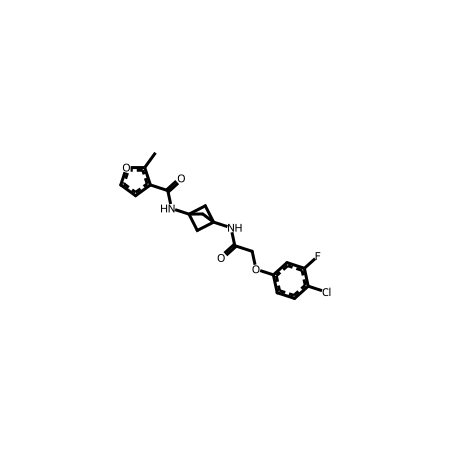 Cc1occc1C(=O)NC12CC(NC(=O)COc3ccc(Cl)c(F)c3)(C1)C2